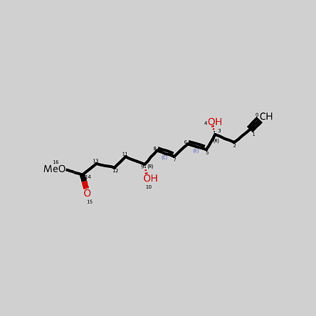 C#CC[C@@H](O)/C=C/C=C/[C@H](O)CCCC(=O)OC